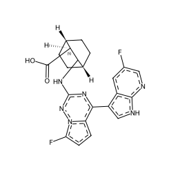 O=C(O)[C@@H]1C(Nc2nc(-c3c[nH]c4ncc(F)cc34)c3ccc(F)n3n2)[C@H]2CC[C@@H]1CC2